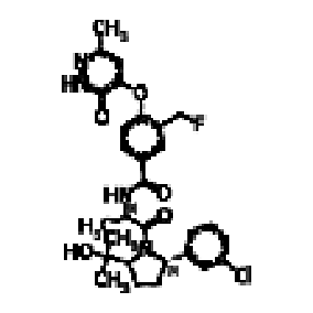 Cc1cc(Oc2ccc(C(=O)N[C@H](C)C(=O)N3C(C(C)(C)O)CC[C@H]3c3cccc(Cl)c3)cc2CF)c(=O)[nH]n1